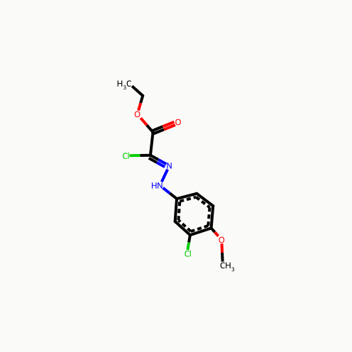 CCOC(=O)/C(Cl)=N/Nc1ccc(OC)c(Cl)c1